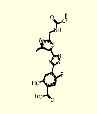 COC(=O)NCc1nc(C)c(-c2nsc(-c3cc(O)c(C(=O)O)cc3F)n2)s1